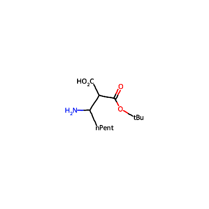 CCCCCC(N)C(C(=O)O)C(=O)OC(C)(C)C